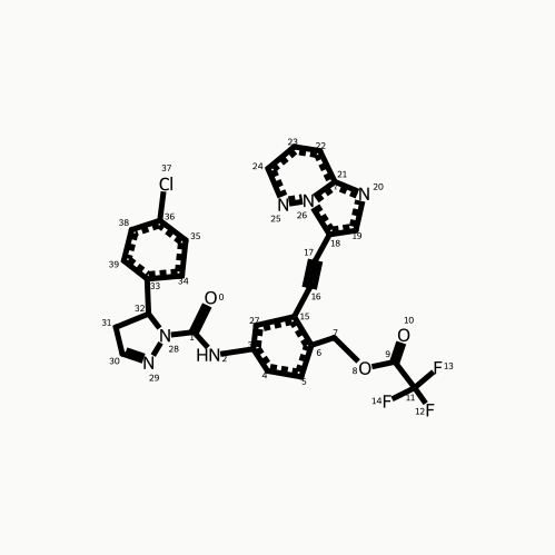 O=C(Nc1ccc(COC(=O)C(F)(F)F)c(C#Cc2cnc3cccnn23)c1)N1N=CCC1c1ccc(Cl)cc1